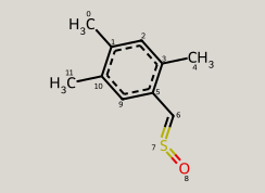 Cc1cc(C)c(C=S=O)cc1C